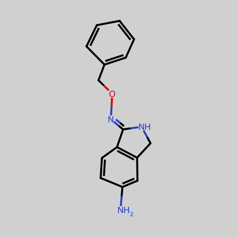 Nc1ccc2c(c1)CNC2=NOCc1ccccc1